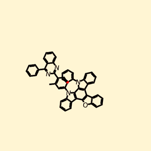 Cc1cc(-n2c3ccccc3c3c4oc5ccccc5c4c4c5ccccc5n(-c5ccccc5)c4c32)ccc1-c1nc(-c2ccccc2)c2ccccc2n1